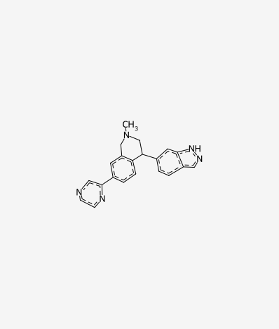 CN1Cc2cc(-c3cnccn3)ccc2C(c2ccc3cn[nH]c3c2)C1